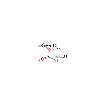 CCCC(C)CC(=O)O.CCCCOC(=O)CC